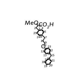 CO[C@@H](Cc1ccc(CCCOc2ccc(Cc3ccccc3)cc2)cc1)C(=O)O